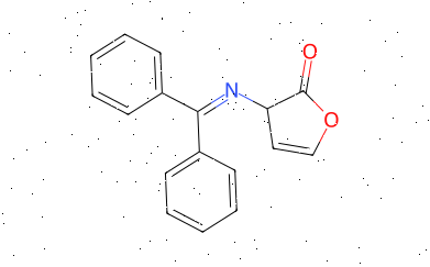 O=C1OC=CC1N=C(c1ccccc1)c1ccccc1